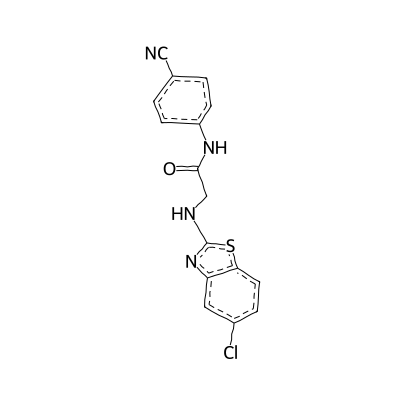 N#Cc1ccc(NC(=O)CNc2nc3cc(Cl)ccc3s2)cc1